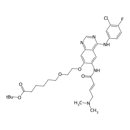 CN(C)C/C=C/C(=O)Nc1cc2c(Nc3ccc(F)c(Cl)c3)ncnc2cc1OCCOCCCCCC(=O)OC(C)(C)C